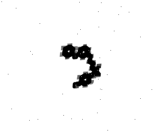 FC1(C=CCCc2cccc(Oc3ccccc3)c2)CC1c1ccc(Cl)cc1